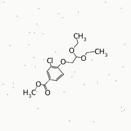 CCOC(COc1ccc(C(=O)OC)cc1Cl)OCC